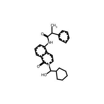 CC(C(=O)Nc1cccc2c(=O)n(C(O)C3CCCCC3)ccc12)c1ccccc1